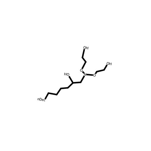 CCCCCCCCCCCCCCC(O)CN(OCCO)OCCO